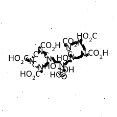 O=C(O)CN1CCN(CC(=O)O)CCN(CC(O)CN(CC(O)CN2CCN(CC(=O)O)CCN(CC(=O)O)CCN(CC(=O)O)CC2)CP(=O)(O)O)CCN(CC(=O)O)CC1